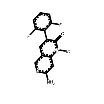 CCn1c(=O)c(-c2c(F)cccc2F)cc2cnc(N)cc21